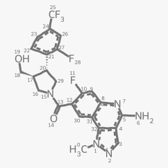 Cn1ncc2c(N)nc3cc(F)c(C(=O)N4C[C@@H](CO)[C@H](c5ccc(C(F)(F)F)cc5F)C4)cc3c21